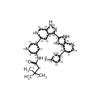 CC(C)(C)CC(=O)Nc1cncc(-c2cc3c(-c4nc5c(-c6ccc(F)s6)ccnc5[nH]4)n[nH]c3cn2)c1